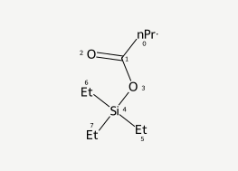 CC[CH]C(=O)O[Si](CC)(CC)CC